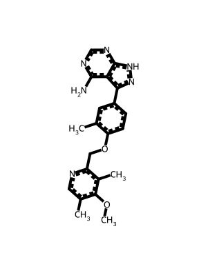 COc1c(C)cnc(COc2ccc(-c3n[nH]c4ncnc(N)c34)cc2C)c1C